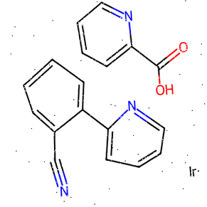 N#Cc1ccccc1-c1ccccn1.O=C(O)c1ccccn1.[Ir]